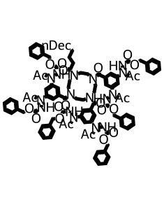 CCCCCCCCCCCCCC(=O)N1CCN(C(=O)c2cc(N(NC(=O)OCc3ccccc3)C(C)=O)cc(N(NC(=O)OCc3ccccc3)C(C)=O)c2)CCN(C(=O)c2cc(N(NC(=O)OCc3ccccc3)C(C)=O)cc(N(NC(=O)OCc3ccccc3)C(C)=O)c2)CCN(C(=O)c2cc(N(NC(=O)OCc3ccccc3)C(C)=O)cc(N(NC(=O)OCc3ccccc3)C(C)=O)c2)CC1